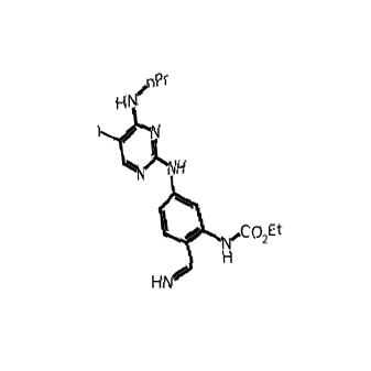 CCCNc1nc(Nc2ccc(C=N)c(NC(=O)OCC)c2)ncc1I